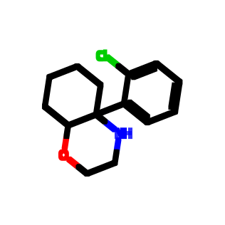 Clc1ccccc1C12CCCCC1OCCN2